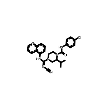 CC(C)C1CN(/C(=N\C#N)Nc2cccc3ncccc23)CCN1C(=O)Nc1ccc(Cl)cc1